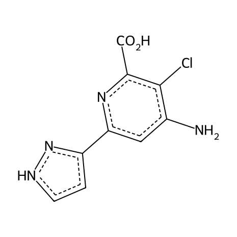 Nc1cc(-c2cc[nH]n2)nc(C(=O)O)c1Cl